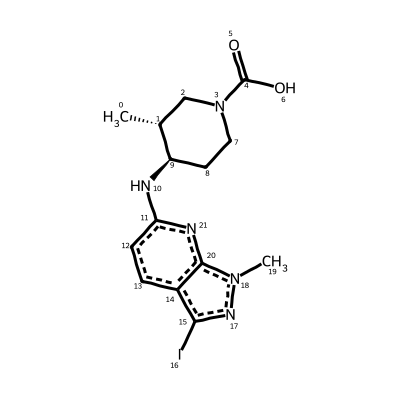 C[C@@H]1CN(C(=O)O)CC[C@H]1Nc1ccc2c(I)nn(C)c2n1